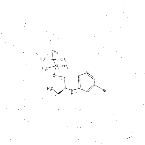 CC[C@@H](CO[Si](C)(C)C(C)(C)C)Nc1cncc(Br)c1